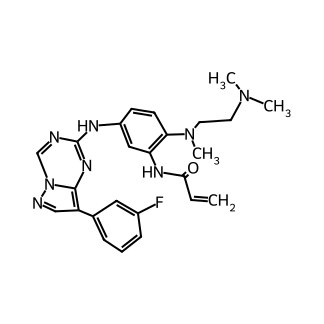 C=CC(=O)Nc1cc(Nc2ncn3ncc(-c4cccc(F)c4)c3n2)ccc1N(C)CCN(C)C